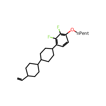 C=CC1CCC(C2CCC(c3ccc(OCCCCC)c(F)c3F)CC2)CC1